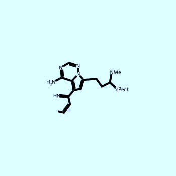 C/C=C\C(=N)c1cc(CCC(CCCCC)NC)n2ncnc(N)c12